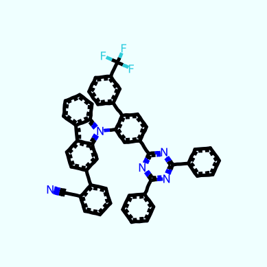 N#Cc1ccccc1-c1ccc2c3ccccc3n(-c3cc(-c4nc(-c5ccccc5)nc(-c5ccccc5)n4)ccc3-c3cccc(C(F)(F)F)c3)c2c1